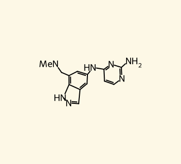 CNCc1cc(Nc2ccnc(N)n2)cc2cn[nH]c12